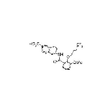 COc1cccc(C(=O)Nc2ccc3cc(C(=O)O)cnc3c2)c1OCCCC(F)(F)F